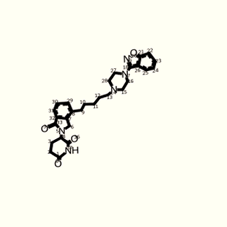 O=C1CCC(N2Cc3c(CCCCCN4CCN(c5noc6ccccc56)CC4)cccc3C2=O)C(=O)N1